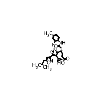 Cc1ccc(NC(=O)C[C@H](CCC(=O)O)c2noc(-c3cc(CC(C)C)on3)c2C2CC2)c(F)c1